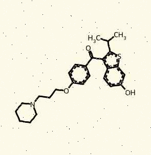 CC(C)c1sc2cc(O)ccc2c1C(=O)c1ccc(OCCCN2CCCCC2)cc1